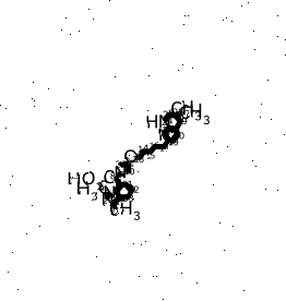 Cc1nn(C)c2c(C(C(=O)O)N3CC(OCCCCCc4ccc5c(n4)NCC(C)(C)C5)C3)cccc12